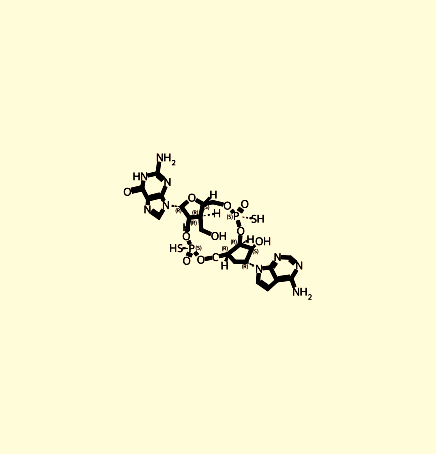 Nc1nc2c(ncn2[C@@H]2O[C@@H]3CO[P@](=O)(S)O[C@@H]4[C@@H](CO[P@](=O)(S)O[C@@H]2[C@@H]3CO)C[C@@H](n2ccc3c(N)ncnc32)[C@@H]4O)c(=O)[nH]1